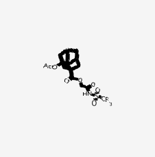 CC(=O)OC12CC3CC(C1)CC(C(=O)OCC(=O)NS(=O)(=O)C(F)(F)F)(C3)C2